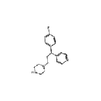 Fc1ccc(C(C[CH]N2CCNCC2)c2ccncc2)cc1